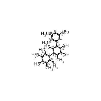 Bc1c(C)c(-c2c(C)c(S)c(S)c(-c3cc(C(C)(C)C)cc(C)c3C)c2S)c(C)c(C)c1S